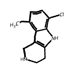 Cc1ccc(Cl)c2[nH]c3c(c12)CNCC3